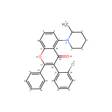 CC1CCCCN1c1cccc2oc(-c3ccccc3)c(-c3ccccc3Cl)c(=O)c12